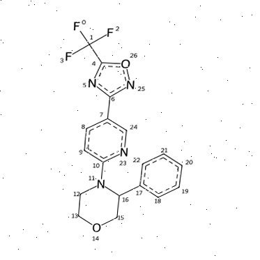 FC(F)(F)c1nc(-c2ccc(N3CCOCC3c3ccccc3)nc2)no1